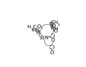 CC[C@@H]1CC/C=C/[C@H](NC(C)=O)[C@@H]2CC[C@H]2CN2CCCCc3cc(Cl)ccc3COc3ccc(cc32)C(=O)NS1(=O)=O